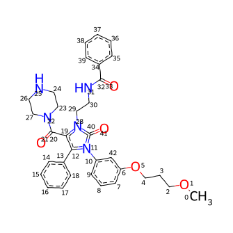 COCCCOc1cccc(-n2c(-c3ccccc3)c(C(=O)N3CCNCC3)n(CCNC(=O)c3ccccc3)c2=O)c1